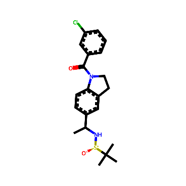 CC(N[S@+]([O-])C(C)(C)C)c1ccc2c(c1)CCN2C(=O)c1cccc(Cl)c1